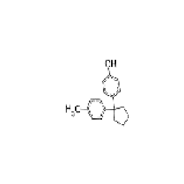 Cc1ccc(C2(c3ccc(O)cc3)CCCC2)cc1